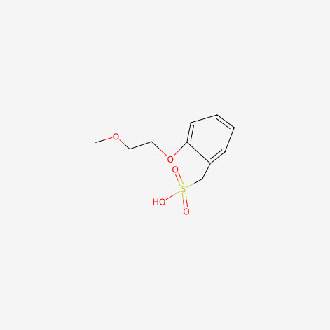 COCCOc1ccccc1CS(=O)(=O)O